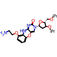 CC(C)OC[C@H]1O[C@@H](n2cc3c(nc2=O)Nc2c(OCCN)cccc2O3)CC1OC(C)C